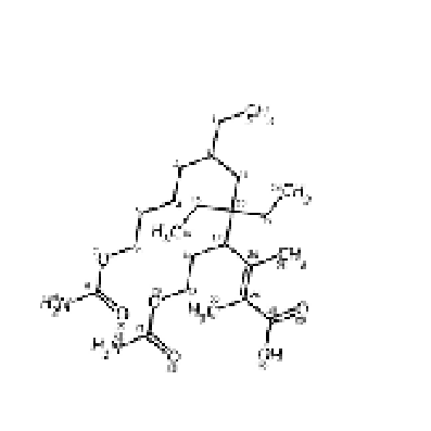 CCC(CCCCOC(N)=O)CC(CC)(CC)C(CCOC(N)=O)C(C)=C(C)C(=O)O